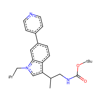 CC(C)Cn1cc(C(C)CNC(=O)OC(C)(C)C)c2ccc(-c3ccncc3)cc21